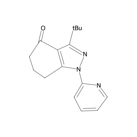 CC(C)(C)c1nn(-c2ccccn2)c2c1C(=O)CCC2